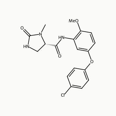 COc1ccc(Oc2ccc(Cl)cc2)cc1NC(=O)[C@@H]1CNC(=O)N1C